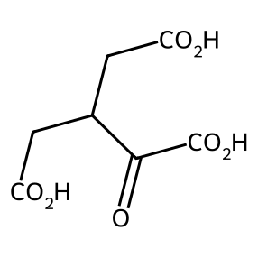 O=C(O)CC(CC(=O)O)C(=O)C(=O)O